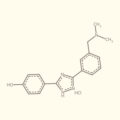 CN(C)Cc1cccc(-c2n[nH]c(-c3ccc(O)cc3)n2)c1.Cl